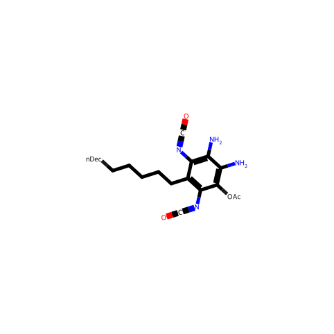 CCCCCCCCCCCCCCCc1c(N=C=O)c(N)c(N)c(OC(C)=O)c1N=C=O